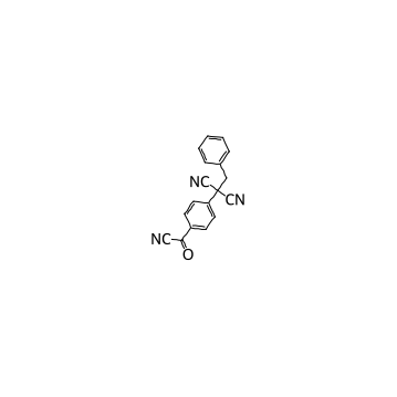 N#CC(=O)c1ccc(C(C#N)(C#N)Cc2ccccc2)cc1